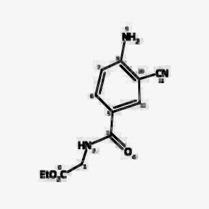 CCOC(=O)CNC(=O)c1ccc(N)c(C#N)c1